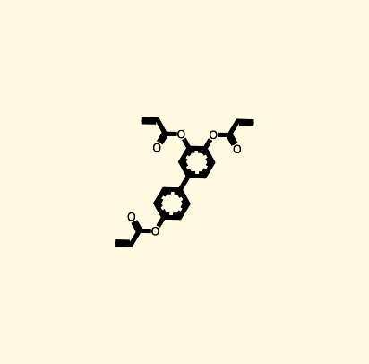 C=CC(=O)Oc1ccc(-c2ccc(OC(=O)C=C)c(OC(=O)C=C)c2)cc1